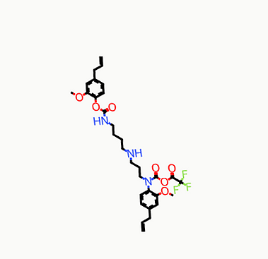 C=CCc1ccc(OC(=O)NCCCCNCCCN(C(=O)OC(=O)C(F)(F)F)c2ccc(CC=C)cc2OC)c(OC)c1